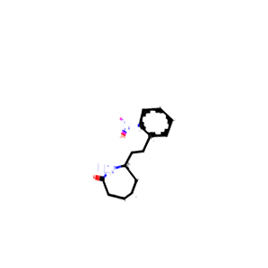 O=C1CCCCC(CCc2ccccc2[N+](=O)[O-])N1